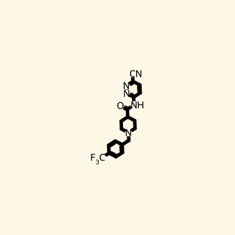 N#Cc1ccc(NC(=O)C2CCN(Cc3ccc(C(F)(F)F)cc3)CC2)nn1